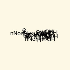 CCCCCCCCCC(=O)OC[C@H](CSC[C@@H](N)C(=O)Nc1cn([C@@H]2[C@H](O)[C@H](O)[C@@H](O)[C@H](O)[C@H]2O)nn1)OC(=O)CCCCCCCCC